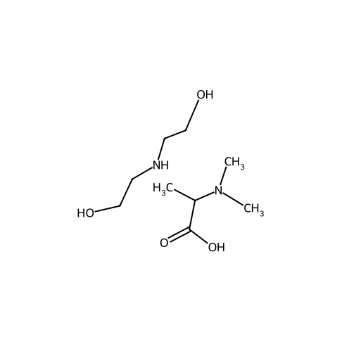 CC(C(=O)O)N(C)C.OCCNCCO